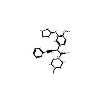 COc1ccc(C(C#Cc2ccccc2)C(=O)N2CCN(C)CC2)cc1OC1CCCC1